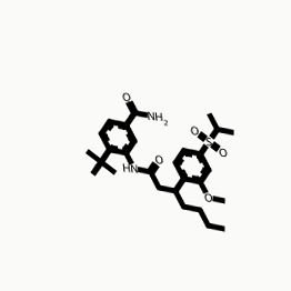 CCCCC(CC(=O)Nc1cc(C(N)=O)ccc1C(C)(C)C)c1ccc(S(=O)(=O)C(C)C)cc1OC